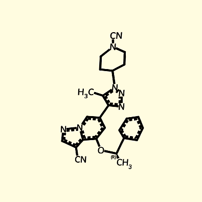 Cc1c(-c2cc(O[C@H](C)c3ccccc3)c3c(C#N)cnn3c2)nnn1C1CCN(C#N)CC1